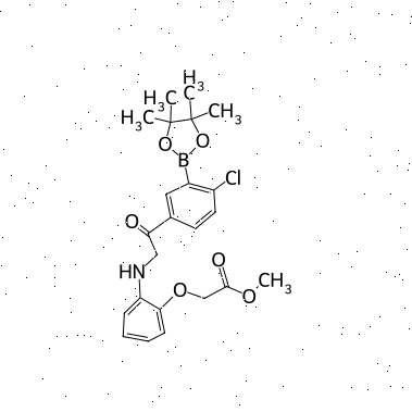 COC(=O)COc1ccccc1NCC(=O)c1ccc(Cl)c(B2OC(C)(C)C(C)(C)O2)c1